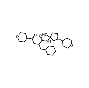 N#CC1(NC(=O)C(CC(=O)N2CCOCC2)CC2CCCCC2)CCN(C2CCOCC2)C1